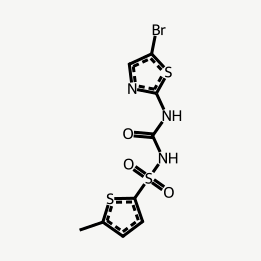 Cc1ccc(S(=O)(=O)NC(=O)Nc2ncc(Br)s2)s1